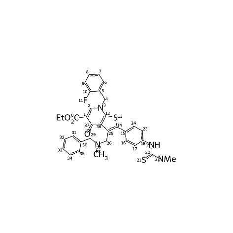 CCOC(=O)c1cn(Cc2ccccc2F)c2sc(-c3ccc(NC(=S)NC)cc3)c(CN(C)Cc3ccccc3)c2c1=O